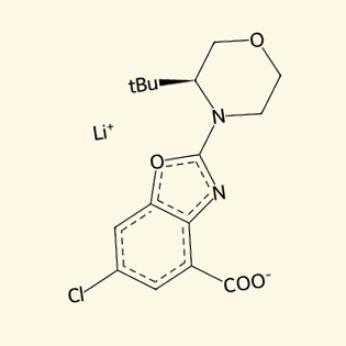 CC(C)(C)[C@H]1COCCN1c1nc2c(C(=O)[O-])cc(Cl)cc2o1.[Li+]